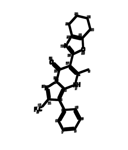 Cc1[nH]c2c(-c3ccccc3)c(C(F)(F)F)nn2c(=O)c1-c1nc2c(o1)CCCC2